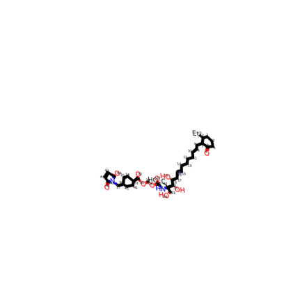 CCC1CCCC(=O)C1CCCCCCC/C=C/C[C@@H](O)[C@H](O)[C@](CO)(NC(=O)OCOC(=O)C1CCC(CN2C(=O)C=CC2=O)CC1)C(=O)O